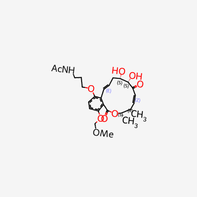 COCOc1ccc(OCCCNC(C)=O)c2c1C(=O)O[C@@H](C)[C@H](C)/C=C\C(=O)[C@@H](O)[C@@H](O)C/C=C/2